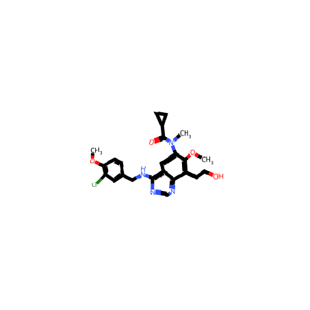 COc1ccc(CNc2ncnc3c(CCO)c(OC)c(N(C)C(=O)C4CC4)cc23)cc1Cl